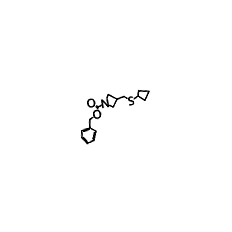 O=C(OCc1ccccc1)N1CC(CSC2CCC2)C1